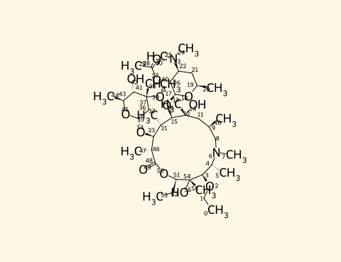 CCO[C@@H]1[C@@H](C)N(C)C[C@H](C)C[C@@](C)(O)[C@H](O[C@@H]2O[C@H](C)C[C@H](N(C)C)[C@H]2OC(C)=O)[C@@H](C)[C@H](O[C@H]2C[C@@](C)(OC)[C@@H](O)[C@H](C)O2)[C@@H](C)C(=O)O[C@H](CC)[C@@]1(C)O